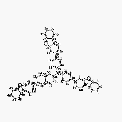 c1ccc2c(c1)oc1cc(-c3ccc(N(c4ccc(-c5ccc6c(c5)oc5ccccc56)cc4)c4ccc5cc(-c6cc7oc8ccccc8c7cn6)ccc5c4)cc3)ccc12